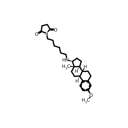 COc1ccc2c(c1)CC[C@@H]1[C@@H]2CC[C@]2(C)[C@@H](NCCCCCCN3C(=O)CCC3=O)CC[C@@H]12